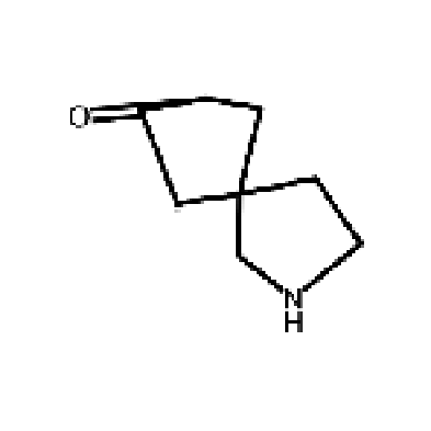 O=C1[CH]C2(CCNC2)CC1